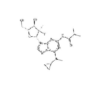 CC(C)C(=O)Nc1nc(N(C)C2CC2)c2ncn([C@@H]3O[C@H](CO)[C@@H](O)[C@@]3(C)F)c2n1